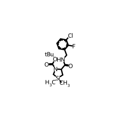 CC(C)(C)OC(=O)N1C[Si](C)(C)CC1C(=O)NCc1cccc(Cl)c1F